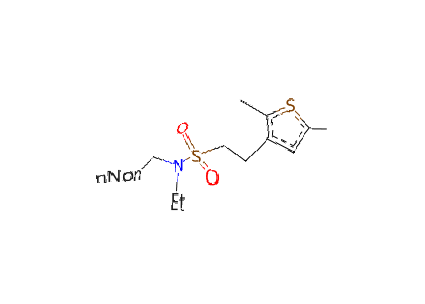 CCCCCCCCCCN(CC)S(=O)(=O)CCc1cc(C)sc1C